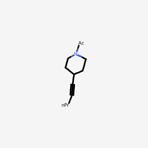 CCCC#CC1CCN(C(C)=O)CC1